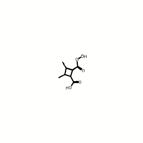 CC1C(C)C(C(=O)OO)C1C(=O)O